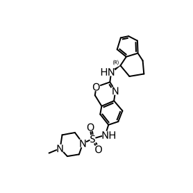 CN1CCN(S(=O)(=O)Nc2ccc3c(c2)COC(N[C@@H]2CCCc4ccccc42)=N3)CC1